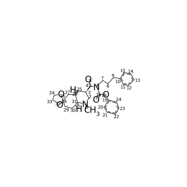 CN1C[C@H](C(=O)N(CCCc2ccccc2)C(=O)Oc2ccccc2)C[C@@H]2CC3(CC[C@H]21)OCCO3